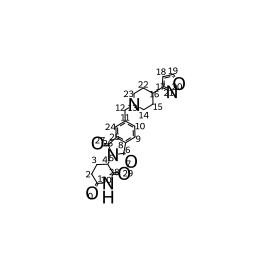 O=C1CCC(N2C(=O)c3ccc(CN4CCC(c5ccon5)CC4)cc3C2=O)C(=O)N1